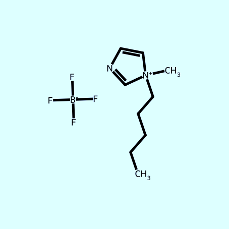 CCCCC[N+]1(C)C=CN=C1.F[B-](F)(F)F